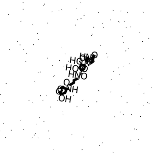 O=CC(CC(=O)O)NC(=O)CCCNC(=O)[C@H]1O[C@@H](n2ccc(=O)[nH]c2=O)[C@H](O)[C@@H]1O